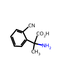 CC(N)(C(=O)O)c1ccccc1C#N